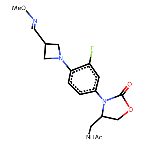 CON=CC1CN(c2ccc(N3C(=O)OCC3CNC(C)=O)cc2F)C1